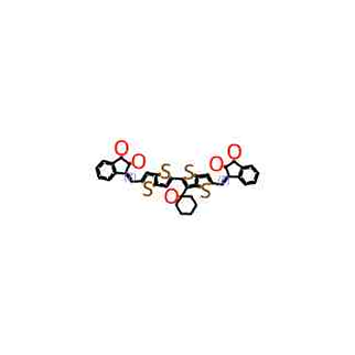 O=C1C(=O)c2ccccc2/C1=C/c1cc2sc3c(c2s1)OC1(CCCCC1)c1c-3sc2cc(/C=C3\C(=O)C(=O)c4ccccc43)sc12